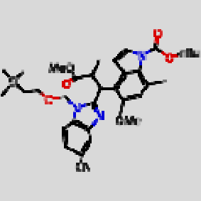 CCCCOC(=O)n1ccc2c(C(c3nc4cc(C#N)ccc4n3COCC[Si](C)(C)C)C(C)C(=O)OC)c(OC)cc(C)c21